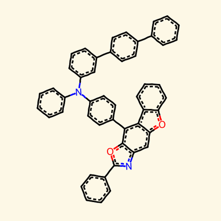 c1ccc(-c2ccc(-c3cccc(N(c4ccccc4)c4ccc(-c5c6oc(-c7ccccc7)nc6cc6oc7ccccc7c56)cc4)c3)cc2)cc1